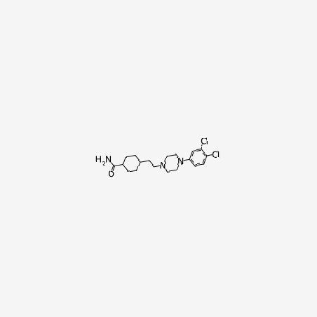 NC(=O)C1CCC(CCN2CCN(c3ccc(Cl)c(Cl)c3)CC2)CC1